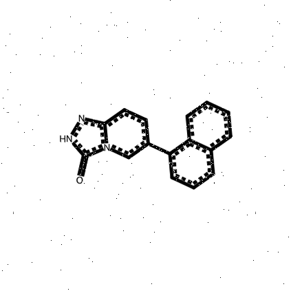 O=c1[nH]nc2ccc(-c3cccc4ccccc34)cn12